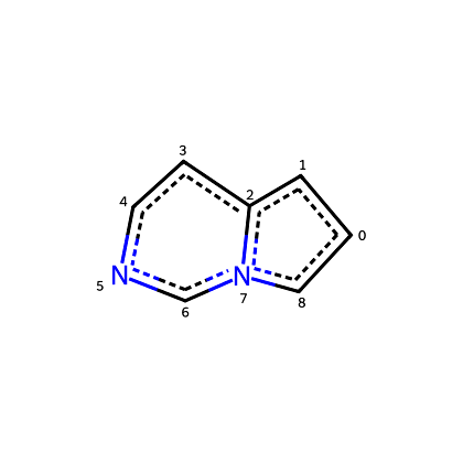 c1cc2ccncn2c1